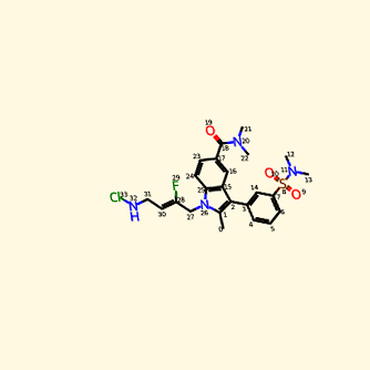 Cc1c(-c2cccc(S(=O)(=O)N(C)C)c2)c2cc(C(=O)N(C)C)ccc2n1C/C(F)=C/CNCl